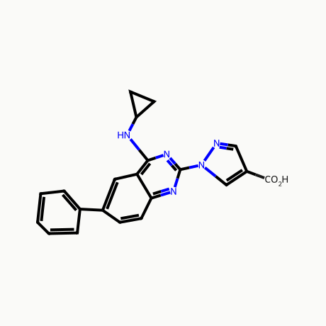 O=C(O)c1cnn(-c2nc(NC3CC3)c3cc(-c4ccccc4)ccc3n2)c1